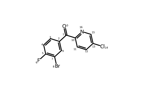 O=C(c1ccc(F)c(Br)c1)c1ccc(Cl)cn1